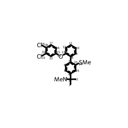 CNC(C)(C)c1ccc(-c2ccccc2Oc2ccc(Cl)c(Cl)c2)c(SC)c1